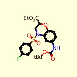 CCOC(=O)C1CN(S(=O)(=O)c2ccc(F)cc2)c2cc(NC(=O)OC(C)(C)C)ccc2O1